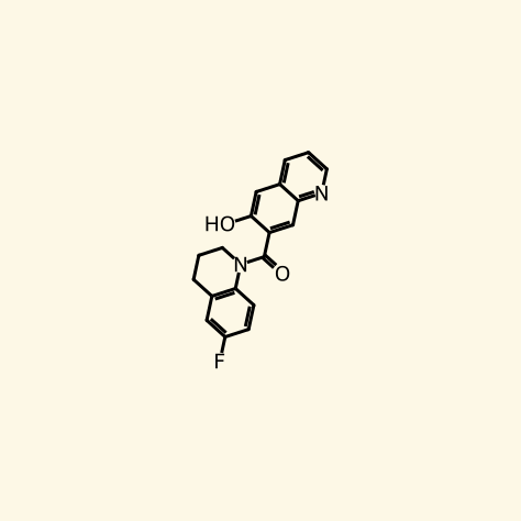 O=C(c1cc2ncccc2cc1O)N1CCCc2cc(F)ccc21